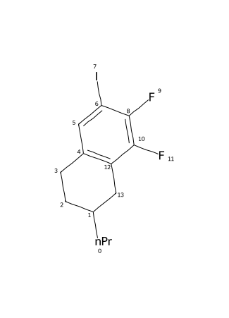 CCCC1CCc2cc(I)c(F)c(F)c2C1